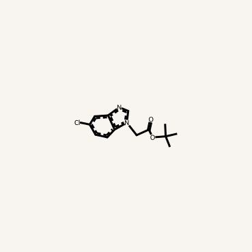 CC(C)(C)OC(=O)Cn1cnc2cc(Cl)ccc21